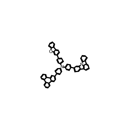 c1ccc2c(c1)oc1cc(-c3ccc(N(c4ccc(-c5ccc6c7ccccc7c7ccccc7c6c5)cc4)c4ccc(-c5ccc6c7cccc8c9ccccc9n(c6c5)c87)cc4)cc3)ccc12